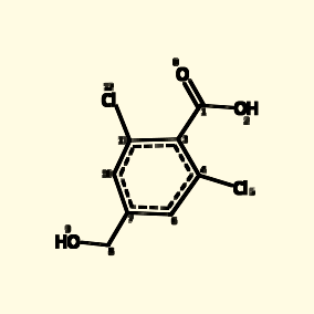 O=C(O)c1c(Cl)cc(CO)cc1Cl